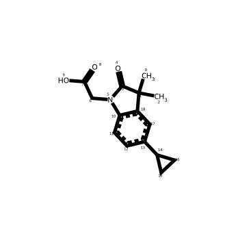 CC1(C)C(=O)N(CC(=O)O)c2ccc(C3CC3)cc21